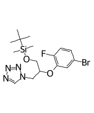 CC(C)(C)[Si](C)(C)OCC(Cn1cnnn1)Oc1cc(Br)ccc1F